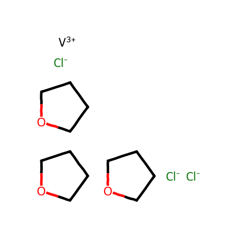 C1CCOC1.C1CCOC1.C1CCOC1.[Cl-].[Cl-].[Cl-].[V+3]